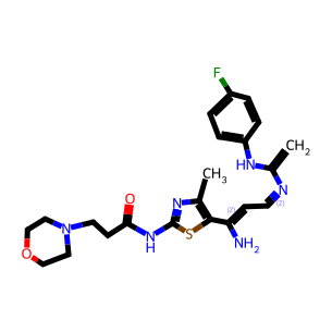 C=C(/N=C\C=C(/N)c1sc(NC(=O)CCN2CCOCC2)nc1C)Nc1ccc(F)cc1